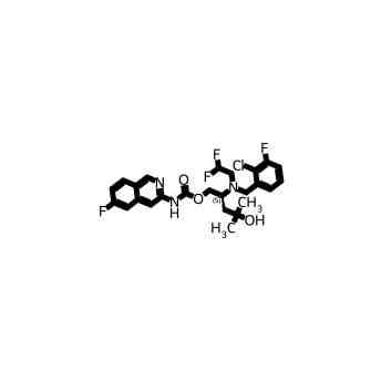 CC(C)(O)C[C@@H](COC(=O)Nc1cc2cc(F)ccc2cn1)N(Cc1cccc(F)c1Cl)CC(F)F